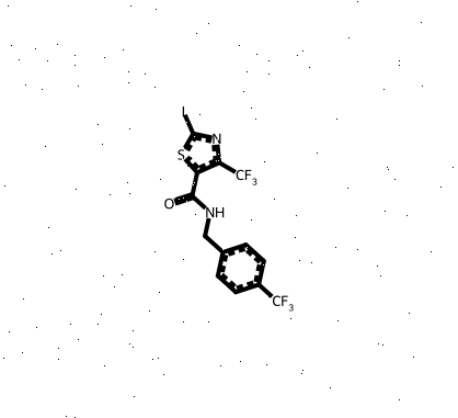 O=C(NCc1ccc(C(F)(F)F)cc1)c1sc(I)nc1C(F)(F)F